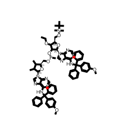 CCOC1C(OP(C)OC[C@H]2O[C@@H](n3cnc4c(NC(c5ccccc5)(c5ccccc5)c5ccc(OC)cc5)ncnc43)C(C)C2C)[C@H](n2cnc3c(NC(c4ccccc4)(c4ccccc4)c4ccc(OC)cc4)ncnc32)O[C@@H]1CO[Si](C)(C)C(C)(C)C